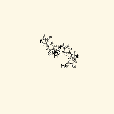 COc1cc(-c2cnc(C)n2C)ccc1Nc1cc2cc(-c3cnn(CC(C)CO)c3)ccc2cn1